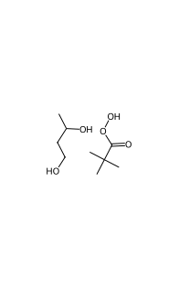 CC(C)(C)C(=O)OO.CC(O)CCO